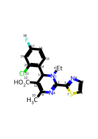 CCN1C(c2nccs2)=NC(C)=C(C(=O)O)C1c1ccc(F)cc1Cl